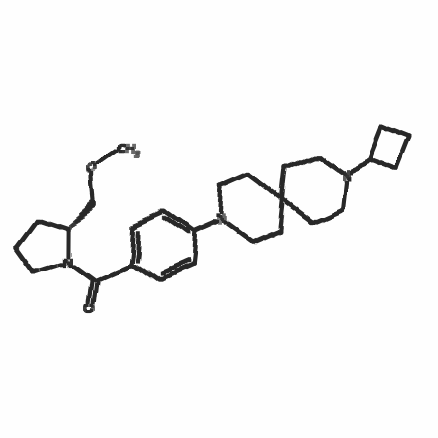 COC[C@@H]1CCCN1C(=O)c1ccc(N2CCC3(CC2)CCN(C2CCC2)CC3)cc1